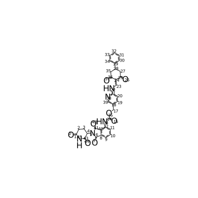 O=C1CCC(N2C(=O)c3cccc(NC(=O)OCc4ccc(NC=C5C(=O)CC(c6ccccc6)CC5=O)nc4)c3C2=O)C(=O)N1